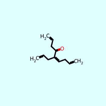 C=CCC=C(CC=C)C(=O)CC=C